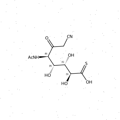 CC(=O)N[C@@H](C(=O)CC#N)[C@@H](O)[C@H](O)[C@H](O)C(O)=S